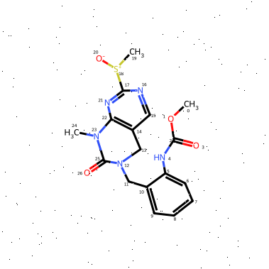 COC(=O)Nc1ccccc1CN1Cc2cnc([S+](C)[O-])nc2N(C)C1=O